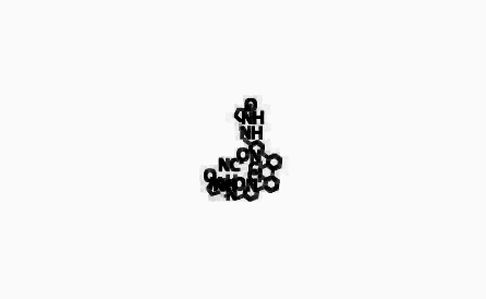 COc1nc(-c2cccc(-c3cccc(-c4ccc(CNC[C@@H]5CCC(=O)N5)c(OCC#N)n4)c3Cl)c2Cl)ccc1CNC[C@@H]1CCC(=O)N1